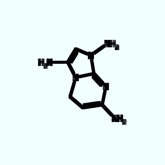 NC1=CCN2C(N)=CN(N)C2=N1